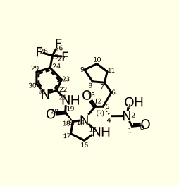 O=CN(O)C[C@@H](CC1CCCC1)C(=O)N1NCC[C@H]1C(=O)Nc1cc(C(F)(F)F)ccn1